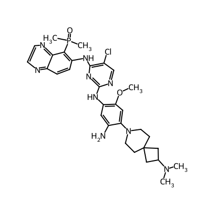 COc1cc(N2CCC3(CC2)CC(N(C)C)C3)c(N)cc1Nc1ncc(Cl)c(Nc2ccc3nccnc3c2P(C)(C)=O)n1